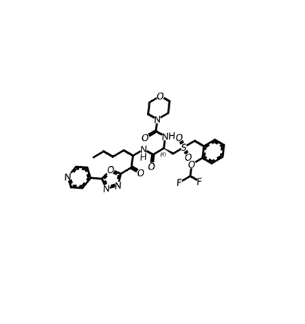 CCCCC(NC(=O)[C@H](CS(=O)(=O)Cc1ccccc1OC(F)F)NC(=O)N1CCOCC1)C(=O)c1nnc(-c2ccncc2)o1